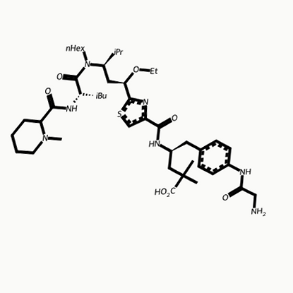 CCCCCCN(C(=O)[C@@H](NC(=O)C1CCCCN1C)[C@@H](C)CC)[C@H](C[C@@H](OCC)c1nc(C(=O)N[C@@H](Cc2ccc(NC(=O)CN)cc2)CC(C)(C)C(=O)O)cs1)C(C)C